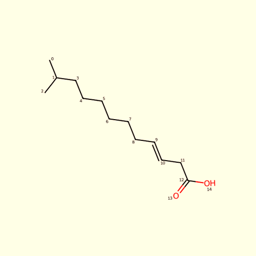 CC(C)CCCCCC/C=C/CC(=O)O